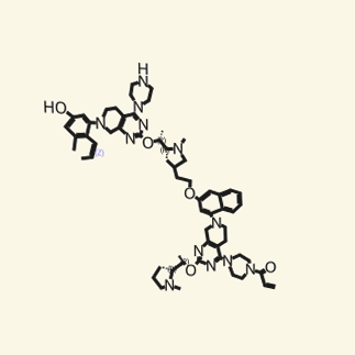 C=CC(=O)N1CCN(c2nc(O[C@H](C)[C@H]3CCCN3C)nc3c2CCN(c2cc(OCCC4C[C@H]([C@@H](C)Oc5nc6c(c(N7CCNCC7)n5)CCN(c5cc(O)cc(C)c5/C=C\C)C6)N(C)C4)cc4ccccc24)C3)CC1